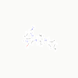 Cn1c(=O)cc(N2C[C@H]3CN(Cc4ccc(F)cc4)C[C@@H]3C2)c2nc(C#N)ccc21